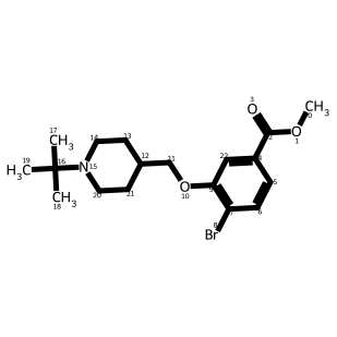 COC(=O)c1ccc(Br)c(OCC2CCN(C(C)(C)C)CC2)c1